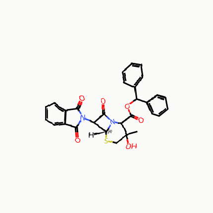 CC1(O)CS[C@@H]2C(N3C(=O)c4ccccc4C3=O)C(=O)N2C1C(=O)OC(c1ccccc1)c1ccccc1